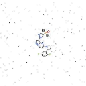 CCP(=O)(CC)c1cnn(-c2cnn3ccc(N4CCC[C@H]4c4cc(F)ccc4F)nc23)c1